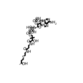 C[C@@H](O)CCSCCNC(=O)CCNC(=O)C(O)C(C)(C)COP(=O)(O)OP(=O)(O)OC[C@H]1O[C@@H](n2cnc3c(N)ncnc32)[C@H](O)[C@@H]1OP(=O)(O)O